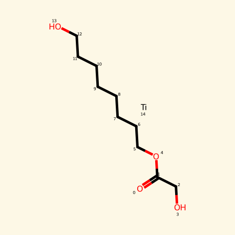 O=C(CO)OCCCCCCCCO.[Ti]